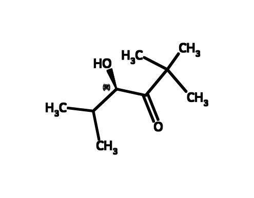 CC(C)[C@@H](O)C(=O)C(C)(C)C